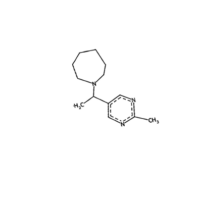 [CH2]C(c1cnc(C)nc1)N1CCCCCC1